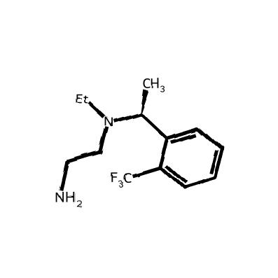 CCN(CCN)[C@@H](C)c1ccccc1C(F)(F)F